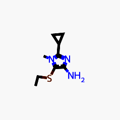 CCSc1c(N)nc(C2CC2)n1C